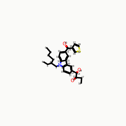 CCCCC(CC)Cn1c2ccc(C(=O)C(=O)CC)cc2c2cc(C(=O)c3ccsc3)ccc21